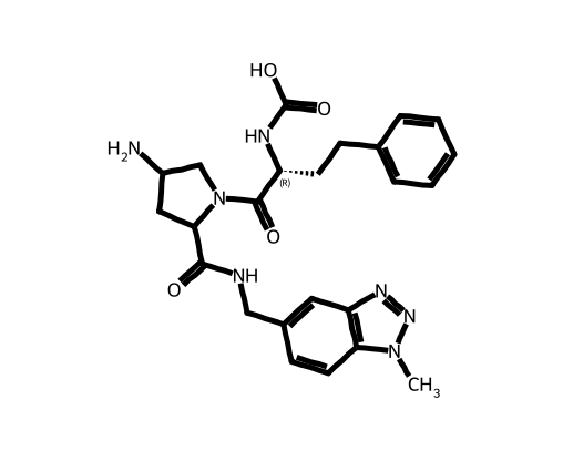 Cn1nnc2cc(CNC(=O)C3CC(N)CN3C(=O)[C@@H](CCc3ccccc3)NC(=O)O)ccc21